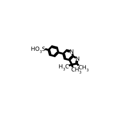 CC1=Nc2ncc(-c3ccc(S(=O)(=O)O)cc3)cc2C1(C)C